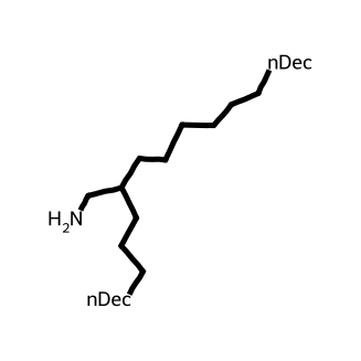 CCCCCCCCCCCCCCCCC(CN)CCCCCCCCCCCCC